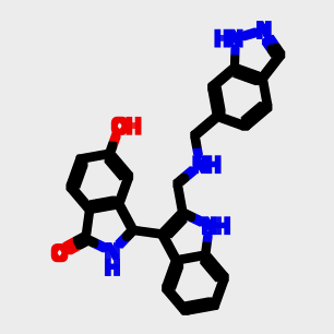 O=C1NC(c2c(CNCc3ccc4cn[nH]c4c3)[nH]c3ccccc23)c2cc(O)ccc21